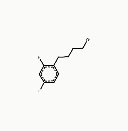 [O]CCCCc1ccc(F)cc1F